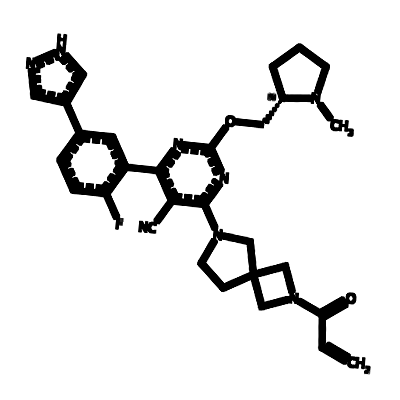 C=CC(=O)N1CC2(CCN(c3nc(OC[C@@H]4CCCN4C)nc(-c4cc(-c5cn[nH]c5)ccc4F)c3C#N)C2)C1